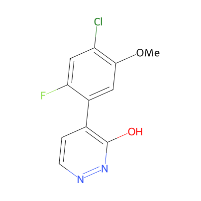 COc1cc(-c2ccnnc2O)c(F)cc1Cl